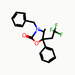 CC1N(Cc2ccccc2)C(=O)OC1(CC(F)(F)F)c1ccccc1